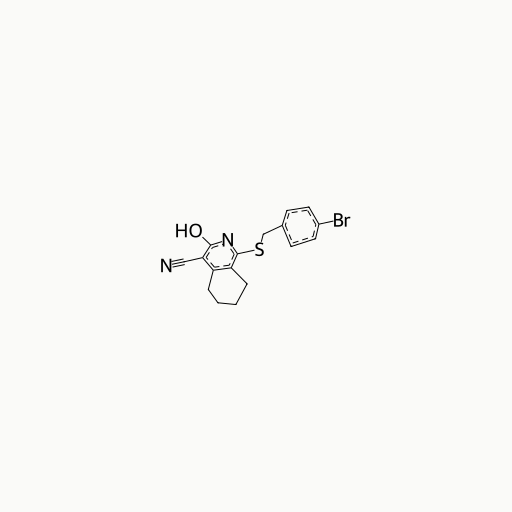 N#Cc1c(O)nc(SCc2ccc(Br)cc2)c2c1CCCC2